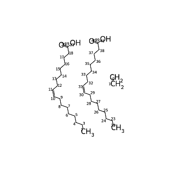 C=C.CCCCCCCC/C=C\CCCCCCCC(=O)O.CCCCCCCC/C=C\CCCCCCCC(=O)O